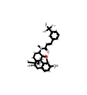 CN(C(=O)/C=C/c1cccc(C(F)(F)F)c1)C1CC[C@@]2(O)[C@H]3Cc4ccc(O)c5c4[C@@]2(CCN3C)C1(C)O5